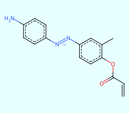 C=CC(=O)Oc1ccc(/N=N/c2ccc(N)cc2)cc1C